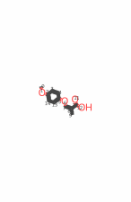 COc1ccc(OC=C(C)C(=O)O)cc1